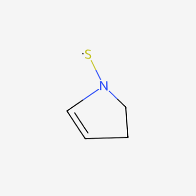 [S]N1C=CCC1